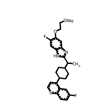 COCCOc1cc2nc(C(C)C3CCC(c4ccnc5ccc(F)cc45)CC3)[nH]c2cc1F